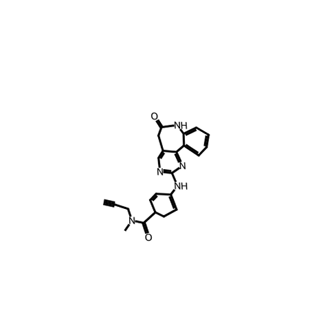 C#CCN(C)C(=O)C1C=CC(Nc2ncc3c(n2)-c2ccccc2NC(=O)C3)=CC1